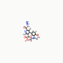 COC(=O)[C@@H](OC(C)(C)C)c1c(C)nc(C(=O)C=[N+]=[N-])c(C)c1-c1ccc2c(c1)NCCO2